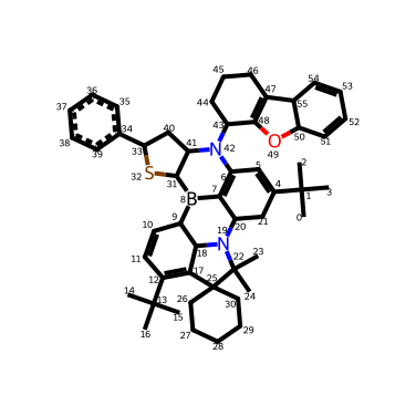 CC(C)(C)C1=CC2=C3B(C4C=CC(C(C)(C)C)=C5C4N(C3C1)C(C)(C)C51CCCCC1)C1SC(c3ccccc3)CC1N2C1CCCC2=C1OC1C=CC=CC21